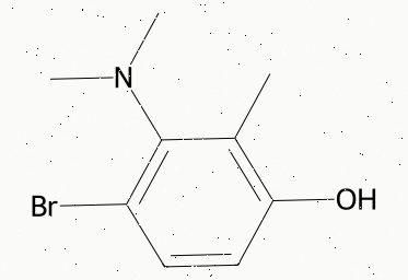 Cc1c(O)ccc(Br)c1N(C)C